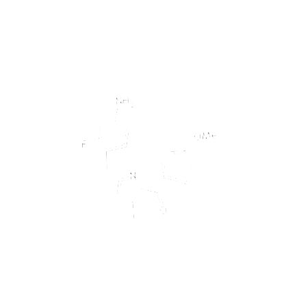 COc1ccc(C(=O)c2c(C)cc(Cc3ccc(N)cc3F)n2C)cc1